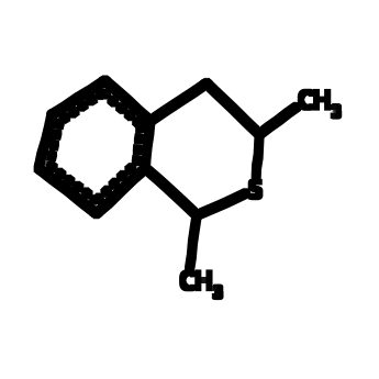 CC1Cc2ccccc2C(C)S1